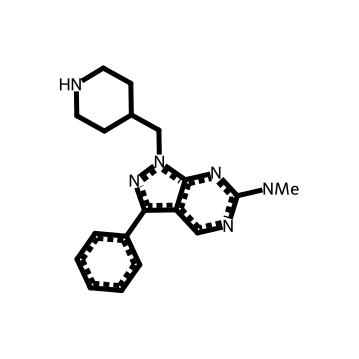 CNc1ncc2c(-c3ccccc3)nn(CC3CCNCC3)c2n1